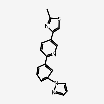 Cc1nc(-c2ccc(-c3cccc(-n4cccn4)c3)nc2)cs1